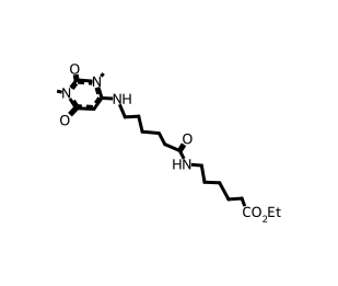 CCOC(=O)CCCCCNC(=O)CCCCCNc1cc(=O)n(C)c(=O)n1C